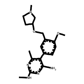 CNc1nc(C)c(-c2ccc(OC)c(COC3CCN(C)C3)c2)c(N)n1